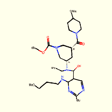 COCCCNC1N=C(C(C)(C)C)N=CC1C(O)N(CC(C)C)[C@H]1C[C@@H](C(=O)N2CCC(OC)CC2)CN(C(=O)OC(C)(C)C)C1